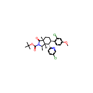 COc1ccc([C@@H]2CC[C@@]3(C)C(=O)N(C(=O)OC(C)(C)C)[C@H](C)[C@H]3[C@H]2c2ccc(Cl)cn2)c(Cl)c1